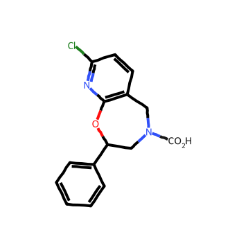 O=C(O)N1Cc2ccc(Cl)nc2OC(c2ccccc2)C1